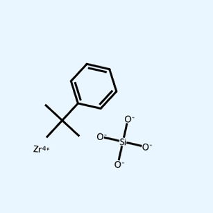 CC(C)(C)c1ccccc1.[O-][Si]([O-])([O-])[O-].[Zr+4]